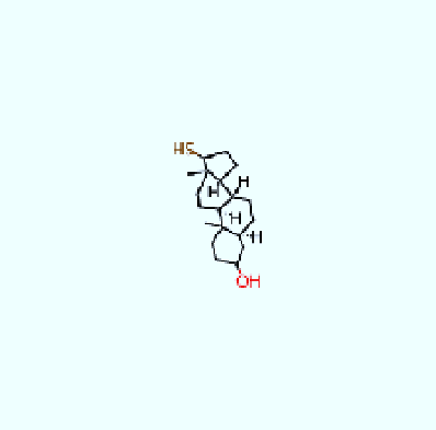 C[C@]12CCC(O)C[C@@H]1CC[C@@H]1[C@@H]2CC[C@]2(C)[C@@H](S)CC[C@@H]12